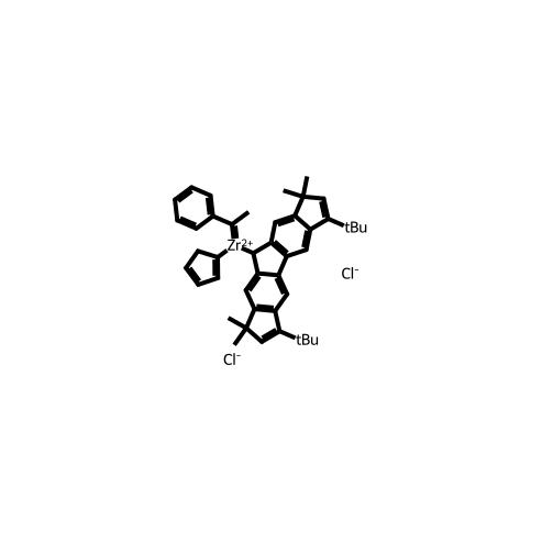 C/[C](c1ccccc1)=[Zr+2](/[C]1=CC=CC1)[CH]1c2cc3c(cc2-c2cc4c(cc21)C(C)(C)C=C4C(C)(C)C)C(C(C)(C)C)=CC3(C)C.[Cl-].[Cl-]